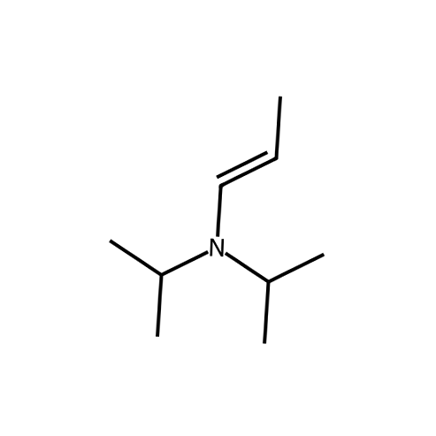 CC=CN(C(C)C)C(C)C